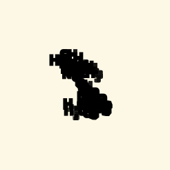 Cc1[nH]nc(Nc2ncnc3cc(OCC4CCN(c5ncc(C(=O)N[C@H]6C[C@@H](C(=O)N[C@@H]7CCCc8ccccc87)N(C(=O)[C@@H](NC(=O)[C@H](C)N(C)C(=O)O)C7CCCCC7)C6)cn5)CC4)c(S(=O)(=O)C(C)(C)C)cc23)c1C